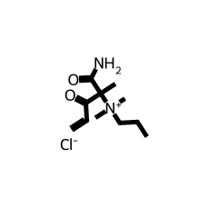 C=CC(=O)C(C)(C(N)=O)[N+](C)(C)CCC.[Cl-]